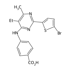 CCc1c(C)nc(-c2ccc(Br)s2)nc1Nc1ccc(C(=O)O)cc1